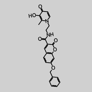 Cc1c(O)c(=O)ccn1CCNC(=O)c1cc2ccc(OCc3ccccc3)cc2oc1=O